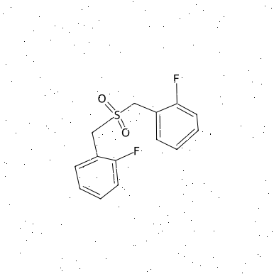 O=S(=O)(Cc1ccccc1F)Cc1ccccc1F